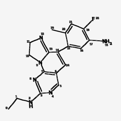 CCNc1ncc2c(n1)N1CCN=C1C(c1cc(N)c(F)cc1C)=C2